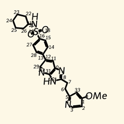 COc1ccnc(CCc2nc3cc(-c4ccc(S(=O)(=O)NC5CCCCC5)cc4)cnc3[nH]2)c1